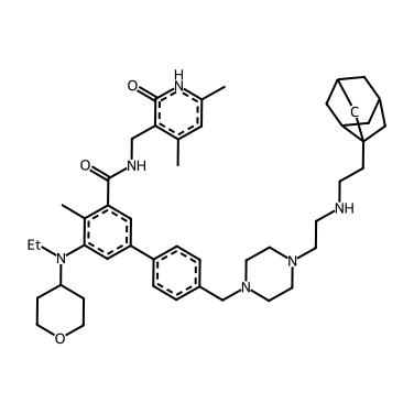 CCN(c1cc(-c2ccc(CN3CCN(CCNCCC45CC6CC(CC4C6)C5)CC3)cc2)cc(C(=O)NCc2c(C)cc(C)[nH]c2=O)c1C)C1CCOCC1